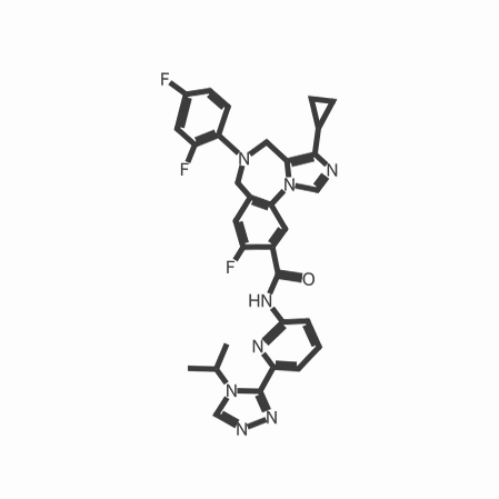 CC(C)n1cnnc1-c1cccc(NC(=O)c2cc3c(cc2F)CN(c2ccc(F)cc2F)Cc2c(C4CC4)ncn2-3)n1